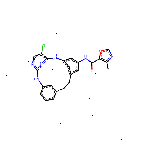 Cc1ncoc1C(=O)Nc1cc2cc(c1)Nc1nc(ncc1Cl)Nc1cccc(c1)CC2